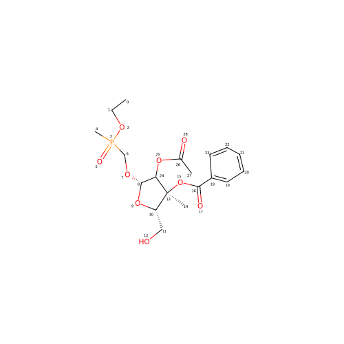 CCOP(C)(=O)CO[C@H]1O[C@@H](CO)[C@](C)(OC(=O)c2ccccc2)C1OC(C)=O